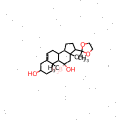 B[C@]1(O)CC2(C)C(CCC2C2(C)OCCO2)C2CC=C3CC(O)CCC3(C)C21